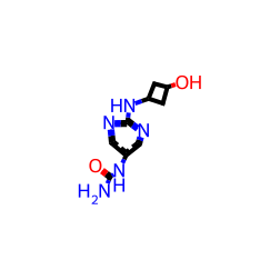 NC(=O)Nc1cnc(NC2CC(O)C2)nc1